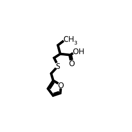 CCC(CSCc1ccco1)C(=O)O